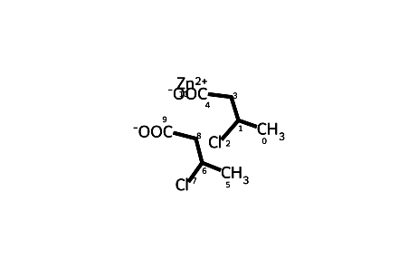 CC(Cl)CC(=O)[O-].CC(Cl)CC(=O)[O-].[Zn+2]